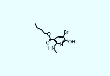 CCCCOC(=O)c1cc(Br)c(O)nc1NC